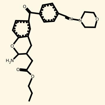 CCCOC(=O)CC1Cc2cc(C(=O)c3ccc(C=NN4CCOCC4)cc3)ccc2OC1N